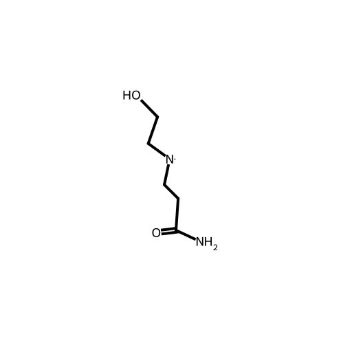 NC(=O)CC[N]CCO